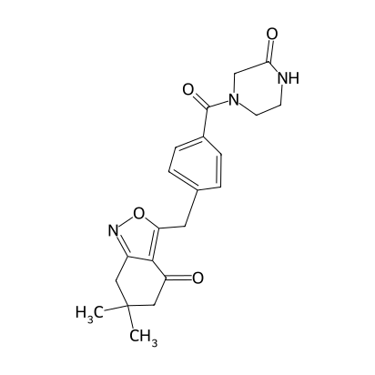 CC1(C)CC(=O)c2c(noc2Cc2ccc(C(=O)N3CCNC(=O)C3)cc2)C1